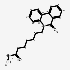 O=C(CCCCCCn1c(=O)c2ccccc2c2ccccc21)NO